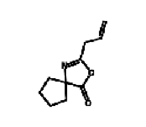 C=CCC1=NC2(CCCC2)C(=O)O1